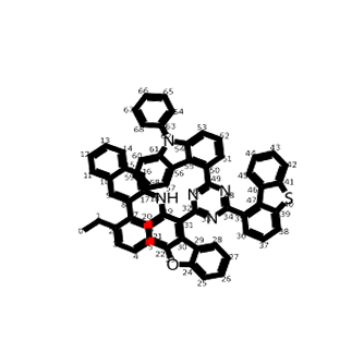 CCc1ccccc1-c1cc2ccccc2cc1Nc1ccc2oc3ccccc3c2c1-c1nc(-c2cccc3sc4ccccc4c23)nc(-c2cccc3c2c2ccccc2n3-c2ccccc2)n1